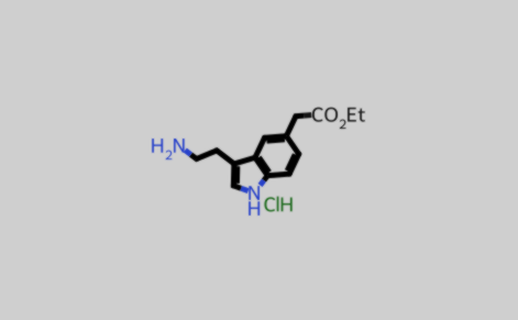 CCOC(=O)Cc1ccc2[nH]cc(CCN)c2c1.Cl